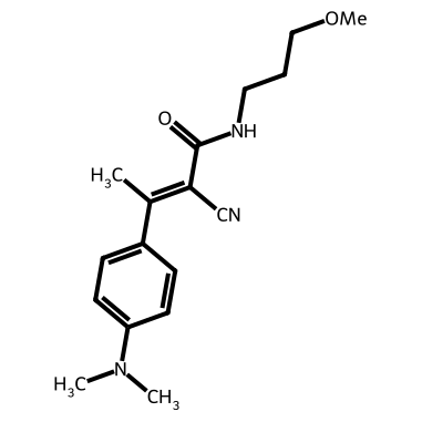 COCCCNC(=O)/C(C#N)=C(\C)c1ccc(N(C)C)cc1